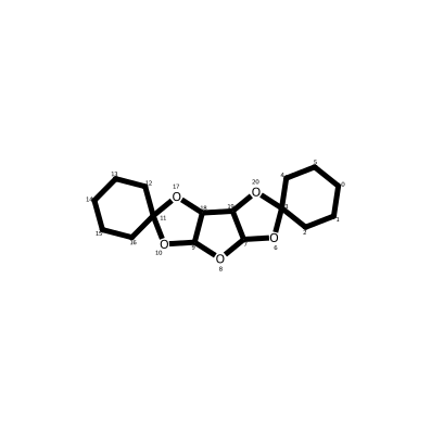 C1CCC2(CC1)OC1OC3OC4(CCCCC4)OC3C1O2